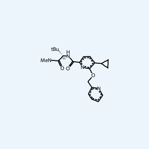 CNC(=O)[C@@H](NC(=O)c1ccc(C2CC2)c(OCc2ccccn2)n1)C(C)(C)C